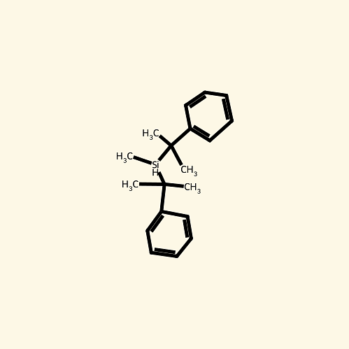 C[SiH](C(C)(C)c1ccccc1)C(C)(C)c1ccccc1